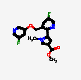 COC(=O)c1cc(-c2ncc(F)cc2COc2cncc(F)c2)n(C)c1